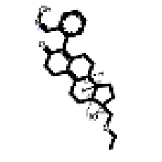 CCOC[C@]1(O)CC[C@H]2[C@@H]3CCC4=C(c5ccccc5/C=N\O)C(=O)CCC4=C3CC[C@@]21C